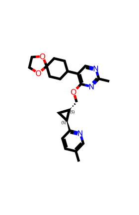 Cc1ccc([C@H]2C[C@@H]2COc2nc(C)ncc2C2CCC3(CC2)OCCO3)nc1